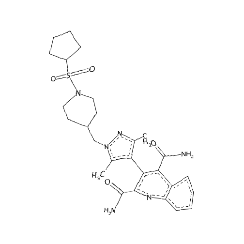 Cc1nn(CC2CCN(S(=O)(=O)C3CCCC3)CC2)c(C)c1-c1c(C(N)=O)nc2ccccc2c1C(N)=O